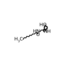 CCCCCCCCCCCC(=O)NCCc1c[nH]c2ccc(O)cc12